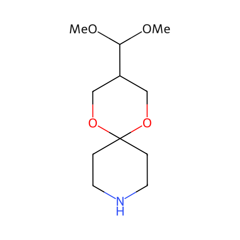 COC(OC)C1COC2(CCNCC2)OC1